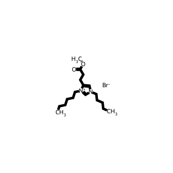 CCCCCC[n+]1cn(CCCCC)cc1CCC(=O)OC.[Br-]